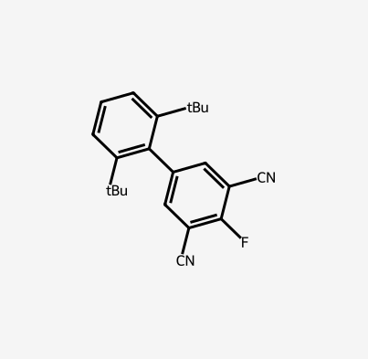 CC(C)(C)c1cccc(C(C)(C)C)c1-c1cc(C#N)c(F)c(C#N)c1